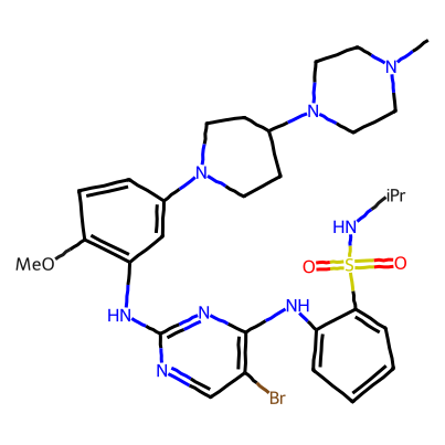 COc1ccc(N2CCC(N3CCN(C)CC3)CC2)cc1Nc1ncc(Br)c(Nc2ccccc2S(=O)(=O)NC(C)C)n1